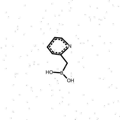 OB(O)Cc1ccccn1